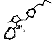 CCCCc1ccc(CC2=C([SiH2]c3ccccc3)C(C)=CC2)cc1